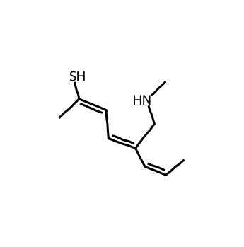 C\C=C/C(=C/C=C(\C)S)CNC